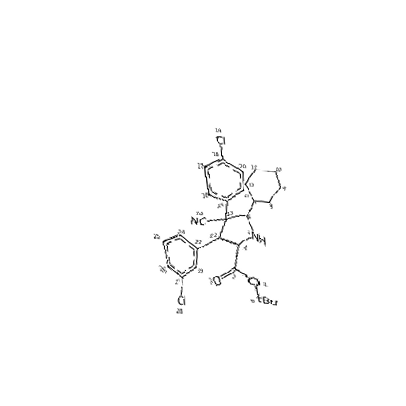 CC(C)(C)OC(=O)C1NC(C2CCCCC2)C(C#N)(c2ccc(Cl)cc2)C1c1cccc(Cl)c1